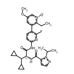 CCc1c(-c2ccc(NC(=O)[C@@H](NC(=O)c3ccnn3C(C)C)C(C3CC3)C3CC3)nc2F)cc(OC)c[n+]1[O-]